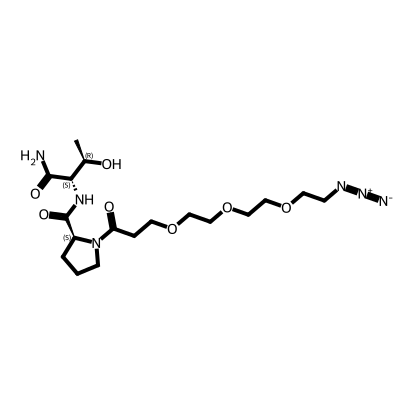 C[C@@H](O)[C@H](NC(=O)[C@@H]1CCCN1C(=O)CCOCCOCCOCCN=[N+]=[N-])C(N)=O